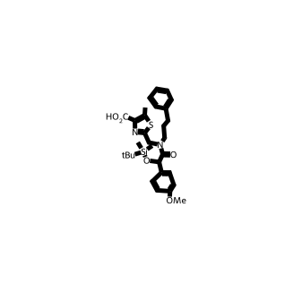 COc1ccc(C(O[Si](C)(C)C(C)(C)C)C(=O)N(CCCc2ccccc2)Cc2nc(C(=O)O)c(C)s2)cc1